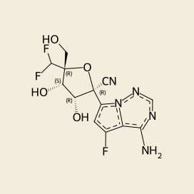 N#C[C@@]1(c2cc(F)c3c(N)ncnn23)O[C@@](CO)(C(F)F)[C@@H](O)[C@H]1O